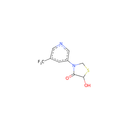 O=C1C(O)SCN1c1cncc(C(F)(F)F)c1